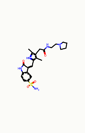 Cc1[nH]c(/C=C2\C(=O)Nc3ccc(S(N)(=O)=O)cc32)c(C)c1CC(=O)NCCN1CCCC1